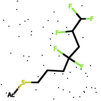 CC(=O)SCCCC(F)(F)CC(F)C(F)F